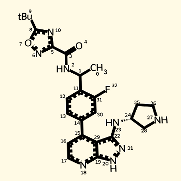 CC(NC(=O)c1noc(C(C)(C)C)n1)c1ccc(-c2ccnc3[nH]nc(N[C@@H]4CCNC4)c23)cc1F